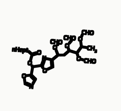 CCCCCCCC(=O)OC(c1cnco1)c1nc(C(CC(OC=O)C(OC=O)C(C)OC=O)OC=O)co1